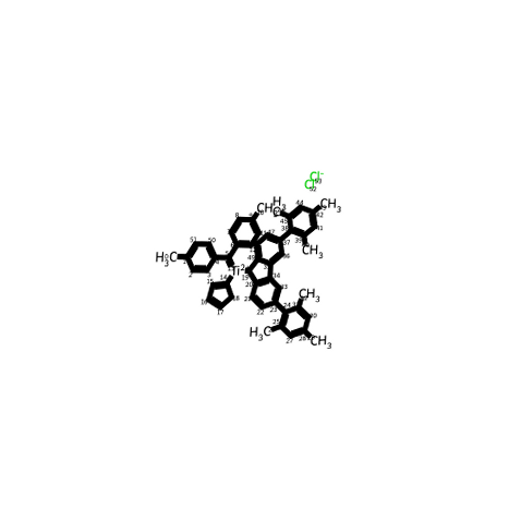 Cc1ccc([C](c2ccc(C)cc2)=[Ti+2]([C]2=CC=CC2)[CH]2c3ccc(-c4c(C)cc(C)cc4C)cc3-c3cc(-c4c(C)cc(C)cc4C)ccc32)cc1.[Cl-].[Cl-]